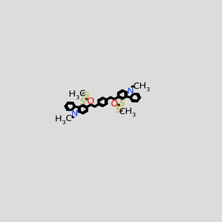 CCN1c2ccc(C(Cc3ccc(CC(OC(=S)SC)c4ccc5c(c4)C4C=CC=CC4N5CC)cc3)OC(=S)SC)cc2C2C=CC=CC21